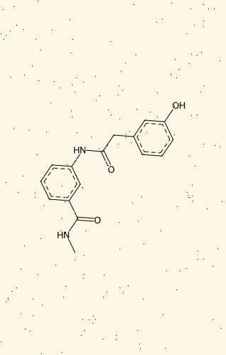 CNC(=O)c1cccc(NC(=O)Cc2cccc(O)c2)c1